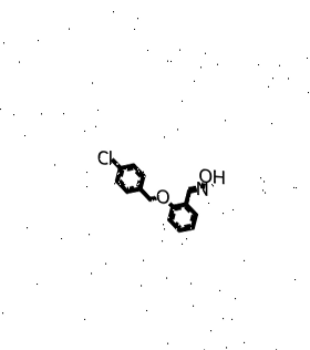 ON=Cc1ccccc1OCc1ccc(Cl)cc1